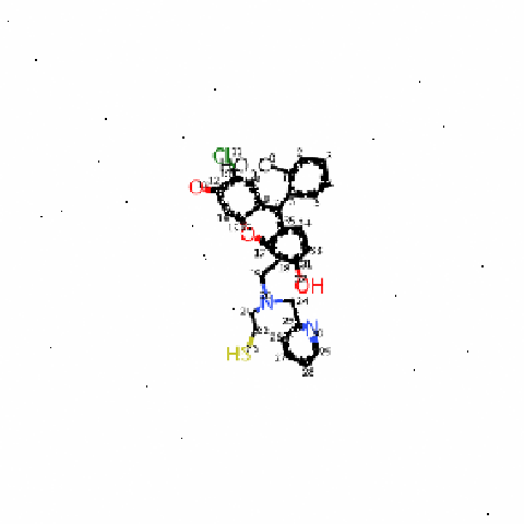 O=C(O)c1ccccc1-c1c2cc(Cl)c(=O)cc-2oc2c(CN(CCS)Cc3ccccn3)c(O)ccc12